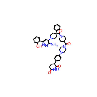 Nc1nnc(-c2ccccc2O)cc1N1CCC(C(=O)N2CCC(C(=O)N3CCN(c4ccc(C5CCC(=O)NC5=O)cc4)CC3)CC2)(c2ccccc2)CC1